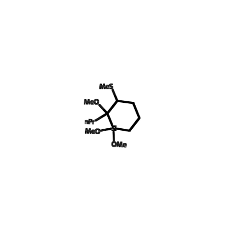 CCCC1(OC)C(SC)CCC[Si]1(OC)OC